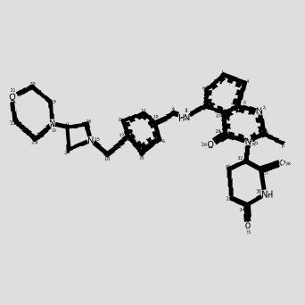 Cc1nc2cccc(NCc3ccc(CN4CC(N5CCOCC5)C4)cc3)c2c(=O)n1C1CCC(=O)NC1=O